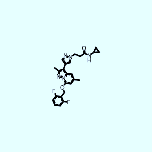 Cc1cc(OCc2c(F)cccc2F)n2nc(C)c(-c3cnn(CCC(=O)NC4CC4)c3)c2c1